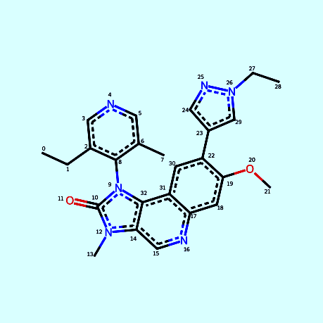 CCc1cncc(C)c1-n1c(=O)n(C)c2cnc3cc(OC)c(-c4cnn(CC)c4)cc3c21